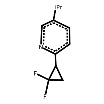 CC(C)c1ccc(C2CC2(F)F)nc1